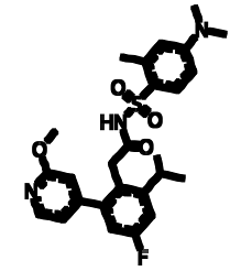 COc1cc(-c2cc(F)cc(C(C)C)c2CC(=O)NS(=O)(=O)c2ccc(N(C)C)cc2C)ccn1